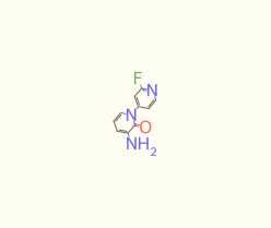 Nc1cccn(-c2ccnc(F)c2)c1=O